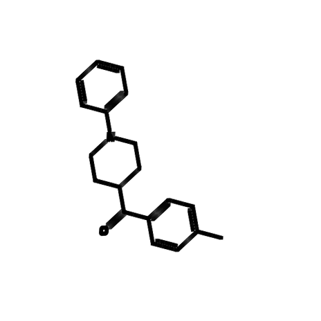 Cc1ccc(C(=O)C2CCN(c3ccccc3)CC2)cc1